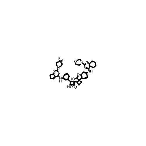 O=C(O)C1(c2ccc(Nc3nc(N4CCOCC4)nc4c3CCCC4)cc2)CCC1C1(C(=O)O)CCC1c1cccc(NC2N=C(N3CCC(F)(F)CC3)N=C3CCC=C32)c1